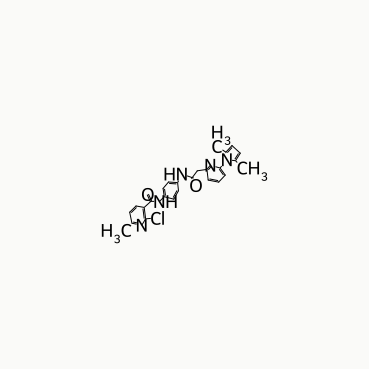 Cc1ccc(C(=O)Nc2ccc(NC(=O)Cc3cccc(-n4c(C)ccc4C)n3)cc2)c(Cl)n1